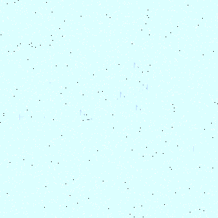 CCCCCCN/C(=N/C#N)N[C@H]1CC[C@](CNC(=O)c2ccccc2OC)(c2ccccc2)CC1